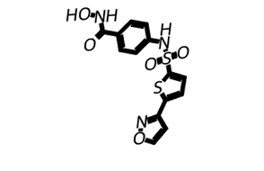 O=C(NO)c1ccc(NS(=O)(=O)c2ccc(-c3ccon3)s2)cc1